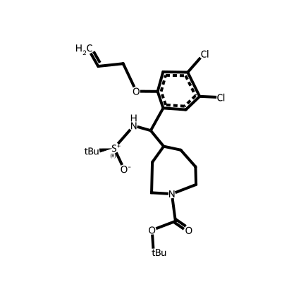 C=CCOc1cc(Cl)c(Cl)cc1C(N[S@@+]([O-])C(C)(C)C)C1CCCN(C(=O)OC(C)(C)C)CC1